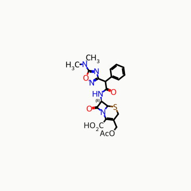 CC(=O)OCC1=C(C(=O)O)N2C(=O)[C@@H](NC(=O)C(c3ccccc3)c3noc(N(C)C)n3)C2SC1